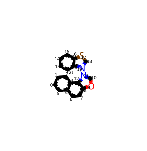 c1ccc2c(c1)ccc1ocnc12.c1ccc2scnc2c1